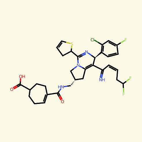 N=C(/C=C\CC(F)F)C1=C2C[C@H](CNC(=O)C3=CCCC(C(=O)O)CC3)CN2C(C2CC=CS2)=N[C@H]1c1ccc(F)cc1Cl